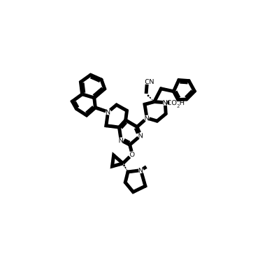 CN1CCC[C@@H]1C1(Oc2nc3c(c(N4CCN(C(=O)O)[C@](CC#N)(Cc5ccccc5)C4)n2)CCN(c2cccc4ccccc24)C3)CC1